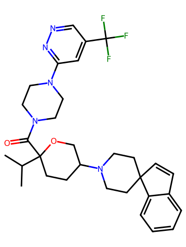 CC(C)C1(C(=O)N2CCN(c3cc(C(F)(F)F)cnn3)CC2)CCC(N2CCC3(C=Cc4ccccc43)CC2)CO1